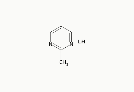 Cc1ncccn1.[LiH]